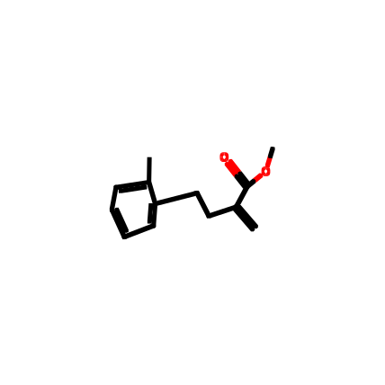 C=C(CCc1ccccc1C)C(=O)OC